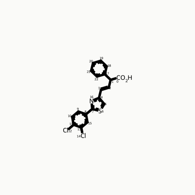 O=C(O)C(C=Cc1csc(-c2ccc(Cl)c(Cl)c2)n1)c1ccccc1